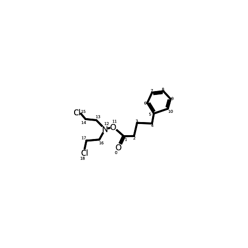 O=C(CCCc1ccccc1)ON(CCCl)CCCl